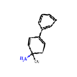 N#CC1(N)C=CC(c2ccccc2)=CC1